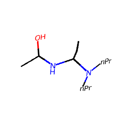 CCCN(CCC)C(C)NC(C)O